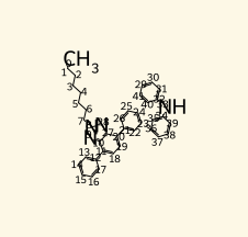 CCCCCCCCn1nc2c(-c3ccccc3)ccc(-c3ccccc3)c2n1.c1ccc(Nc2ccccc2)cc1